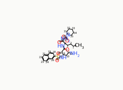 CCCCC(NC(=O)CC(CCN)NS(=O)(=O)c1ccc2ccccc2c1)(OC(=O)N1CCCCC1)C(N)=O